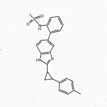 Cc1ccc(C2CC2c2nc3cc(-c4ccccc4NS(C)(=O)=O)ccc3[nH]2)cc1